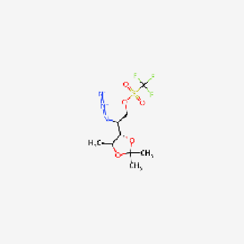 C[C@@H]1OC(C)(C)O[C@H]1[C@H](COS(=O)(=O)C(F)(F)F)N=[N+]=[N-]